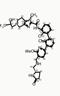 COc1nc(-c2ccnc(-c3cccc(NC(=O)c4nc5c(n4C)CCN(CC(O)C(F)(F)F)C5)c3Cl)c2Cl)ccc1CNC[C@H]1CCC(=O)N1